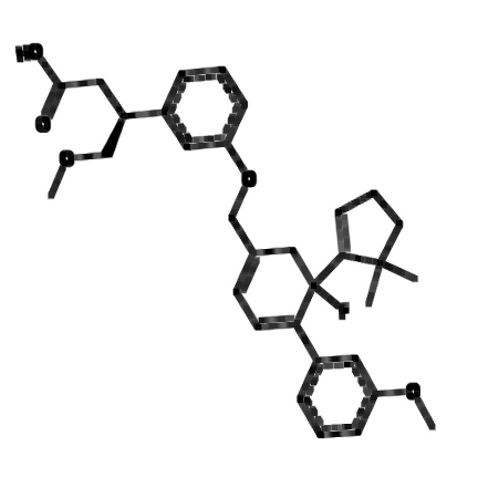 COC[C@@H](CC(=O)O)c1cccc(OCC2=CC=C(c3cccc(OC)c3)C(F)(C3=CCCC3(C)C)C2)c1